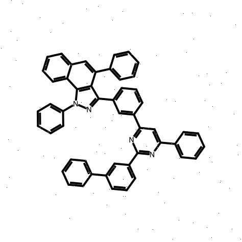 c1ccc(-c2cccc(-c3nc(-c4ccccc4)cc(-c4cccc(-c5nn(-c6ccccc6)c6c5c(-c5ccccc5)cc5ccccc56)c4)n3)c2)cc1